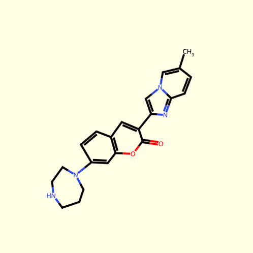 Cc1ccc2nc(-c3cc4ccc(N5CCCNCC5)cc4oc3=O)cn2c1